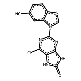 N#Cc1ccc2ncn(-c3nc(Cl)c4[nH]c(=O)[nH]c4n3)c2c1